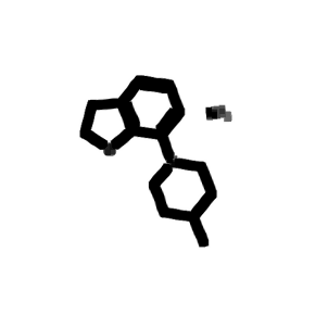 CC1CCN(c2cccc3c2OCC3)CC1.N